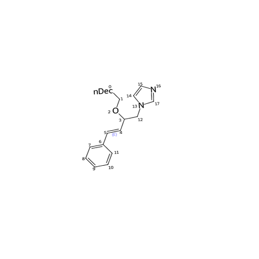 CCCCCCCCCCCOC(/C=C/c1ccccc1)Cn1ccnc1